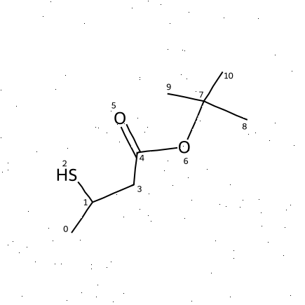 CC(S)CC(=O)OC(C)(C)C